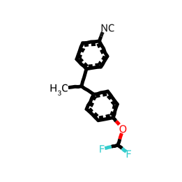 [C-]#[N+]c1ccc(C(C)c2ccc(OC(F)F)cc2)cc1